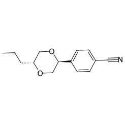 CCC[C@@H]1CO[C@@H](c2ccc(C#N)cc2)CO1